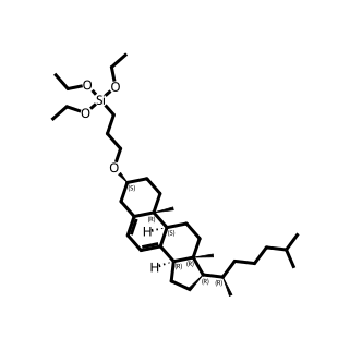 CCO[Si](CCCO[C@H]1CC[C@@]2(C)C(=CC=C3[C@@H]4CC[C@H]([C@H](C)CCCC(C)C)[C@@]4(C)CC[C@@H]32)C1)(OCC)OCC